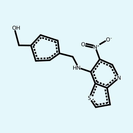 O=[N+]([O-])c1cnc2ccsc2c1NCc1ccc(CO)cc1